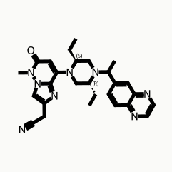 CC[C@H]1CN(C(C)c2ccc3nccnc3c2)[C@H](CC)CN1c1cc(=O)n(C)n2cc(CC#N)nc12